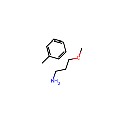 COCCCN.Cc1ccccc1